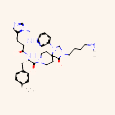 CCN(CC)CCCCN1CN(c2ccccc2)C2(CCN(C(=O)[C@@H](Cc3ccc(OC)cc3)NC(=O)[C@@H](N)Cc3cncn3C)CC2)C1=O